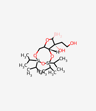 BC1OC2CO[Si](C(C)C)(C(C)C)O[Si](C(C)C)(C(C)C)O[C@H]2[C@]1(O)CCO